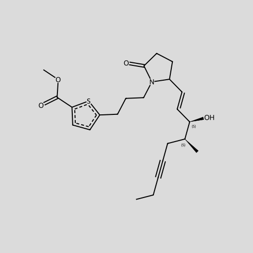 CCC#CC[C@H](C)[C@H](O)C=CC1CCC(=O)N1CCCc1ccc(C(=O)OC)s1